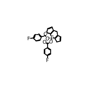 O=C([O][Ti]1([O]C(=O)c2ccc(F)cc2)[C]2=C(C=CC2)CC2=[C]1CC=C2)c1ccc(F)cc1